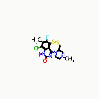 Cc1c(F)c2c3c(nc(=O)n(I)c3c1Cl)N1CCN(C)CC1CSS2